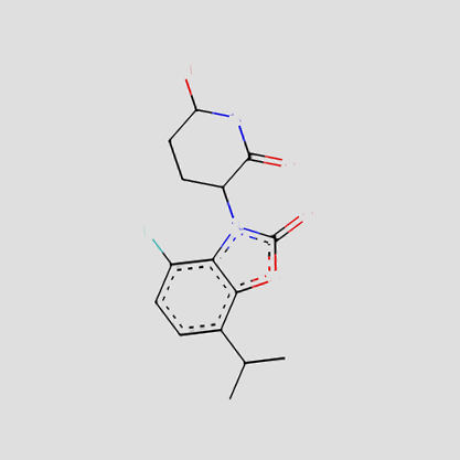 CC(C)c1ccc(F)c2c1oc(=O)n2C1CCC(O)NC1=O